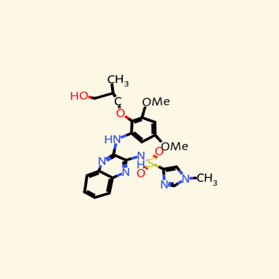 COc1cc(Nc2nc3ccccc3nc2NS(=O)(=O)c2cn(C)cn2)c(OCC(C)CO)c(OC)c1